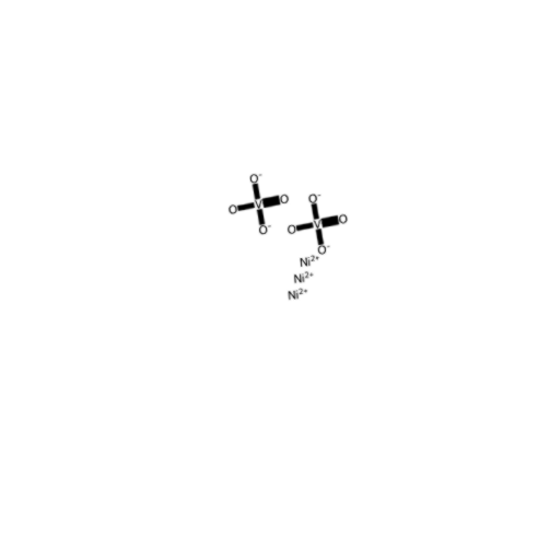 [Ni+2].[Ni+2].[Ni+2].[O]=[V]([O-])([O-])[O-].[O]=[V]([O-])([O-])[O-]